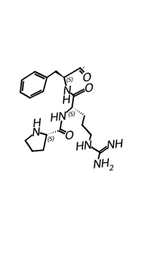 N=C(N)NCCC[C@H](NC(=O)[C@@H]1CCCN1)C(=O)N[C@H]([C]=O)Cc1ccccc1